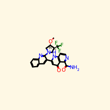 CO[C@H]1CN(c2nc3ccccc3cc2-c2cc(=O)c3c(C(N)=O)nccc3[nH]2)C[C@@H]1C(F)(F)F